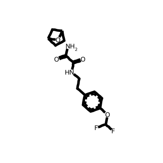 C1CC2CC1O2.NC(=O)C(=O)NCCc1ccc(OC(F)F)cc1